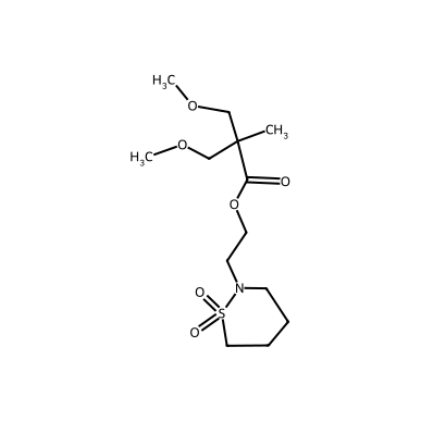 COCC(C)(COC)C(=O)OCCN1CCCCS1(=O)=O